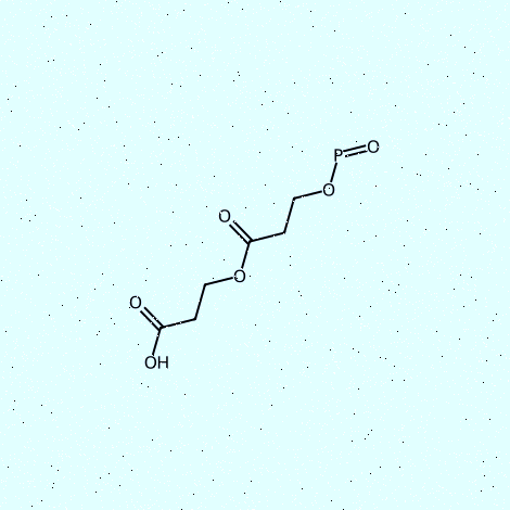 O=POCCC(=O)OCCC(=O)O